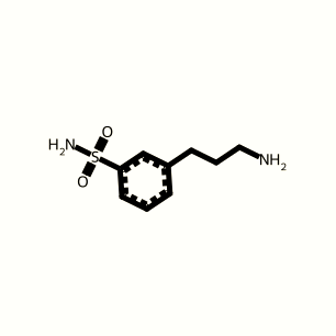 NCCCc1cccc(S(N)(=O)=O)c1